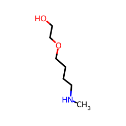 CNCCCCOCCO